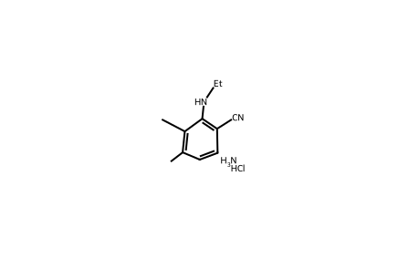 CCNc1c(C#N)ccc(C)c1C.Cl.N